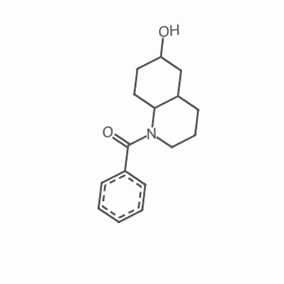 O=C(c1ccccc1)N1CCCC2CC(O)CCC21